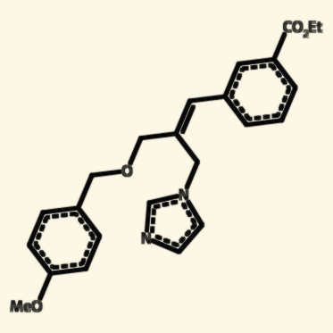 CCOC(=O)c1cccc(/C=C(/COCc2ccc(OC)cc2)Cn2ccnc2)c1